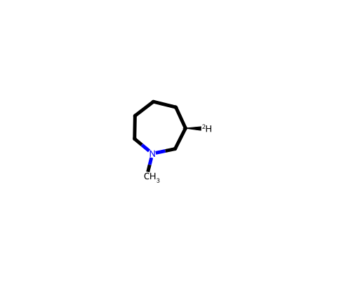 [2H][C@@H]1CCCCN(C)C1